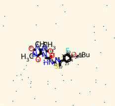 Cn1c(=O)c2c(n(C)c1=O)n(C)c(=O)n2CC(=O)Nc1nc(-c2ccc(OCC(C)(C)C)c(F)c2)cs1